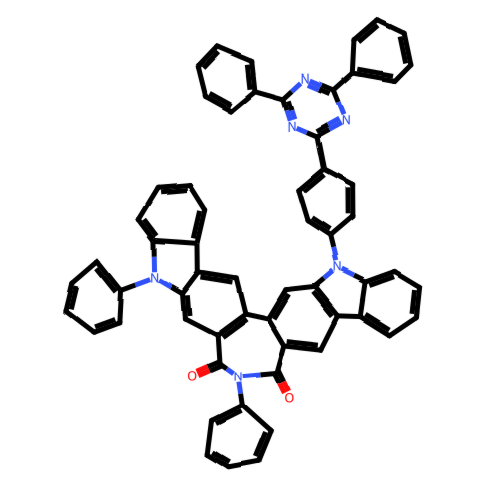 O=c1c2cc3c(cc2c2cc4c(cc2c(=O)n1-c1ccccc1)c1ccccc1n4-c1ccc(-c2nc(-c4ccccc4)nc(-c4ccccc4)n2)cc1)c1ccccc1n3-c1ccccc1